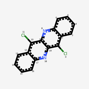 Clc1c2ccccc2nc2c(Cl)c3ccccc3nc12